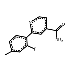 Cc1ccc(-c2cc(C(N)=O)ccn2)c(F)c1